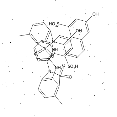 Cc1ccc2c(NC(=O)Nc3c4ccc(C)c3S(=O)(=O)N4c3cccc4cc(O)cc(S(=O)(=O)O)c34)c1S(=O)(=O)N2c1cccc2cc(O)cc(S(=O)(=O)O)c12